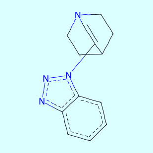 C1=C(n2nnc3ccccc32)C2CCN1CC2